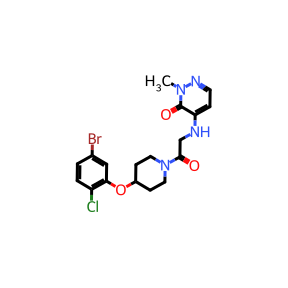 Cn1nccc(NCC(=O)N2CCC(Oc3cc(Br)ccc3Cl)CC2)c1=O